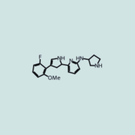 COc1cccc(F)c1C1=CNC(c2cccc(NC3CCNC3)n2)C1